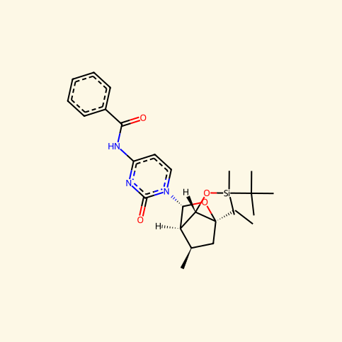 CC[C@@]12C[C@@H](C)[C@@H]([C@H](n3ccc(NC(=O)c4ccccc4)nc3=O)O1)[C@@H]2O[Si](C)(C)C(C)(C)C